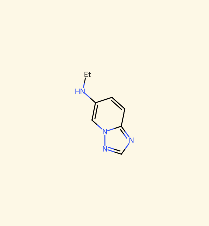 CCNc1ccc2ncnn2c1